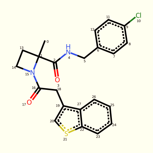 CC1(C(=O)NCc2ccc(Cl)cc2)CCN1C(=O)Cc1csc2ccccc12